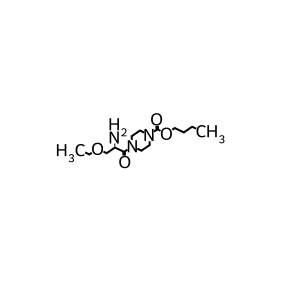 CCCCOC(=O)N1CCN(C(=O)[C@@H](N)COCC)CC1